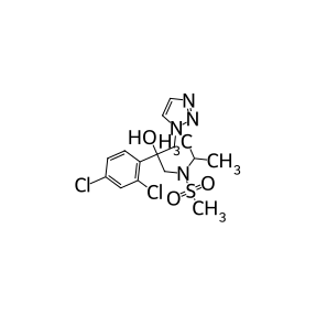 CC(C)N(CC(O)(Cn1ccnn1)c1ccc(Cl)cc1Cl)S(C)(=O)=O